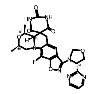 C[C@@H]1CN2c3c(cc4c(N5COC[C@@H]5c5ncccn5)noc4c3F)CC3(C(=O)NC(=O)NC3=O)[C@H]2[C@H](C)O1